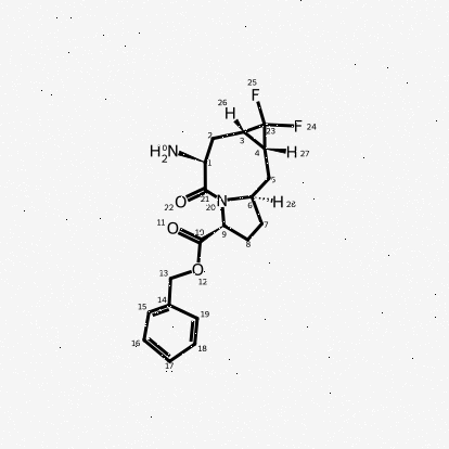 N[C@H]1C[C@H]2[C@@H](C[C@H]3CC[C@@H](C(=O)OCc4ccccc4)N3C1=O)C2(F)F